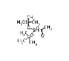 CC(=O)O[SiH](O[Si](C)(C)C)O[Si](C)(C)C